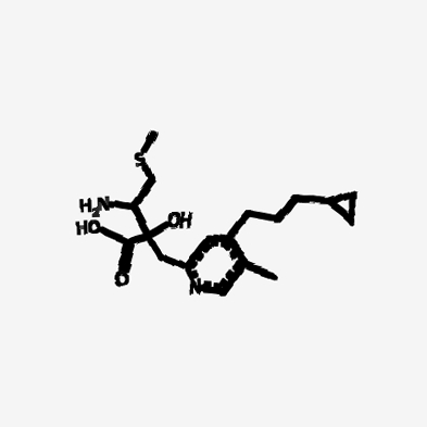 CSCC(N)C(O)(Cc1cc(CCCC2CC2)c(C)cn1)C(=O)O